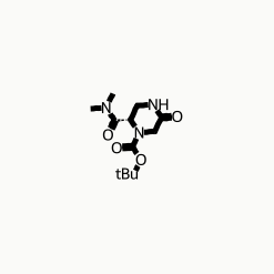 CN(C)C(=O)[C@@H]1CNC(=O)CN1C(=O)OC(C)(C)C